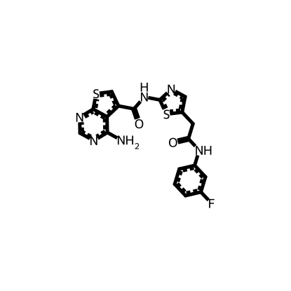 Nc1ncnc2scc(C(=O)Nc3ncc(CC(=O)Nc4cccc(F)c4)s3)c12